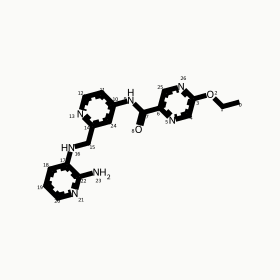 CCOc1cnc(C(=O)Nc2ccnc(CNc3cccnc3N)c2)cn1